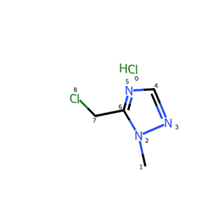 Cl.Cn1ncnc1CCl